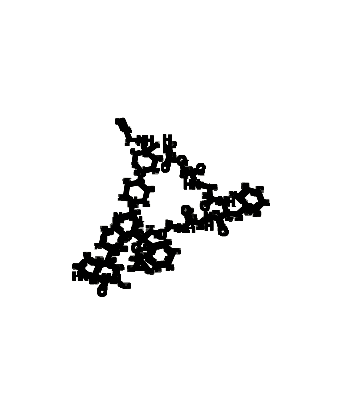 C#CCNC1(C)CCN(C2CCN(c3nc(C(COCNC(=O)CNC(=O)C(Cc4ccccc4)NC(=O)CNC(=O)COC(N)=O)(OC4CC4)c4ccccc4)c4cc(-c5cn(C)c(=O)c6[nH]ccc56)ccc4n3)CC2)CC1